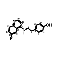 Oc1ccc(CCNc2ncnc3ccc(F)cc23)cc1